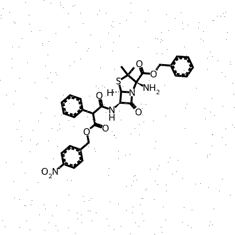 CC1(C)S[C@@H]2[C@H](NC(=O)C(C(=O)OCc3ccc([N+](=O)[O-])cc3)c3ccccc3)C(=O)N2[C@@]1(N)C(=O)OCc1ccccc1